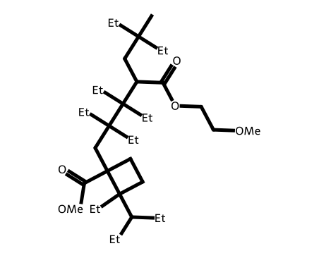 CCC(CC)C1(CC)CCC1(CC(CC)(CC)C(CC)(CC)C(CC(C)(CC)CC)C(=O)OCCOC)C(=O)OC